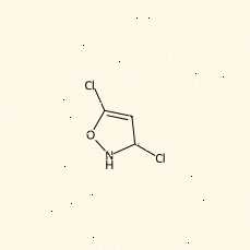 Cl[C]1C=C(Cl)ON1